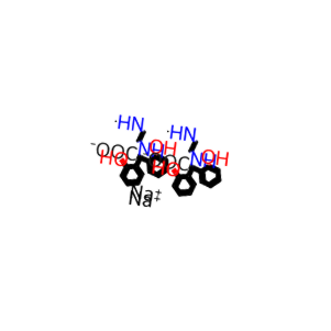 [NH]CCNC(C(=O)[O-])(c1ccccc1O)c1ccccc1O.[NH]CCNC(C(=O)[O-])(c1ccccc1O)c1ccccc1O.[Na+].[Na+]